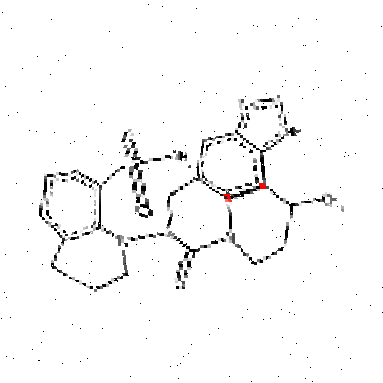 CC1CCN(C(=O)C(Cc2ccc3[nH]cnc3c2)N2CCCc3cccc(S(N)(=O)=O)c32)CC1